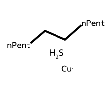 CCCCCCCCCCCC.S.[Cu]